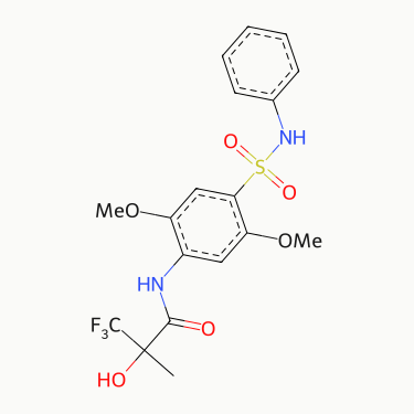 COc1cc(S(=O)(=O)Nc2ccccc2)c(OC)cc1NC(=O)C(C)(O)C(F)(F)F